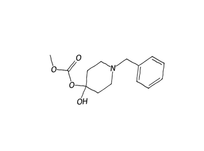 COC(=O)OC1(O)CCN(Cc2ccccc2)CC1